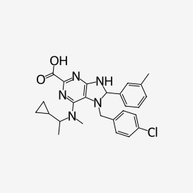 Cc1cccc(C2Nc3nc(C(=O)O)nc(N(C)C(C)C4CC4)c3N2Cc2ccc(Cl)cc2)c1